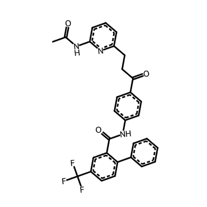 CC(=O)Nc1cccc(CCC(=O)c2ccc(NC(=O)c3cc(C(F)(F)F)ccc3-c3ccccc3)cc2)n1